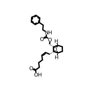 O=C(O)CCC/C=C\C[C@@H]1[C@H](COC(=O)NCCc2ccccc2)[C@@H]2CC[C@H]1O2